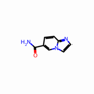 NC(=O)c1ccc2n[c]cn2c1